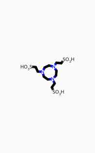 O=S(=O)(O)CCN1CCN(CCS(=O)(=O)O)CCN(CCS(=O)(=O)O)CC1